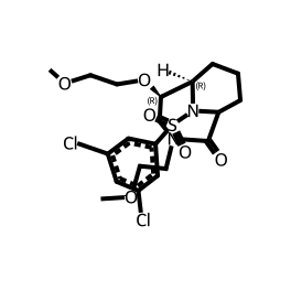 COCCO[C@@H]1CN(CCOC)C(=O)C2CCC[C@H]1N2S(=O)(=O)c1cc(Cl)cc(Cl)c1